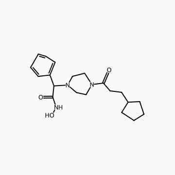 O=C(NO)C(c1ccccc1)N1CCN(C(=O)CCC2CCCC2)CC1